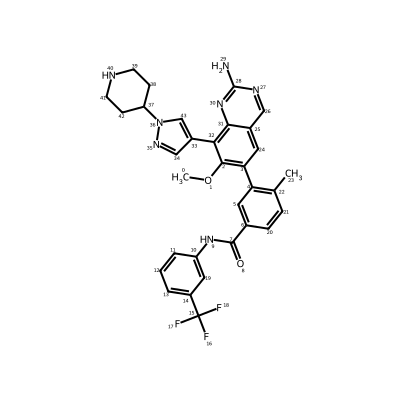 COc1c(-c2cc(C(=O)Nc3cccc(C(F)(F)F)c3)ccc2C)cc2cnc(N)nc2c1-c1cnn(C2CCNCC2)c1